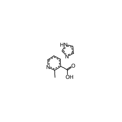 Cc1ncccc1C(=O)O.c1c[nH]cn1